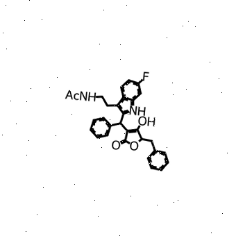 CC(=O)NCCc1c(C(C2=C(O)C(Cc3ccccc3)OC2=O)c2ccccc2)[nH]c2cc(F)ccc12